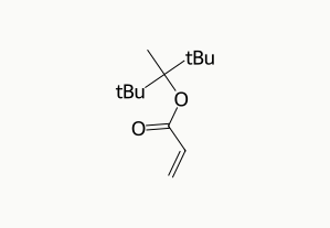 C=CC(=O)OC(C)(C(C)(C)C)C(C)(C)C